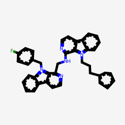 Fc1ccc(Cn2c3ccccc3c3ccnc(CNc4nccc5c6ccccc6n(CCCc6ccccc6)c45)c32)cc1